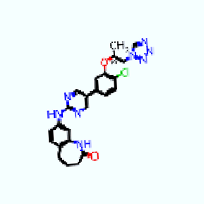 C[C@@H](Cn1cnnn1)Oc1cc(-c2cnc(Nc3ccc4c(c3)NC(=O)CCC4)nc2)ccc1Cl